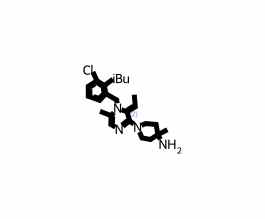 C/C=C1/C(N2CCC(C)(N)CC2)=NC=C(C)N1Cc1cccc(Cl)c1C(C)CC